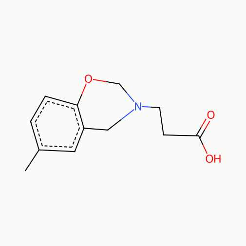 Cc1ccc2c(c1)CN(CCC(=O)O)CO2